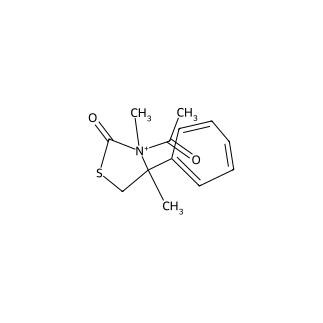 CC(=O)[N+]1(C)C(=O)SCC1(C)c1ccccc1